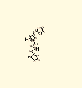 C1=C(Cc2ccco2)CNC1CCNCC1CCCC1